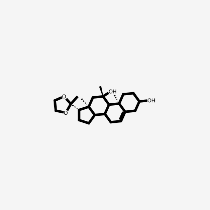 CC1([C@H]2CCC3C4CC=C5CC(O)CC[C@]5(C)C4[C@@](C)(O)C[C@@]32C)OCCO1